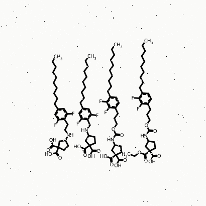 CCCCCCCCCCc1cc(F)c(CCNC2CCC(C(=O)O)(C(=O)O)C2)c(F)c1.CCCCCCCCCCc1cc(F)c(CNC2CCC(C(=O)O)(C(=O)O)C2)c(F)c1.CCCCCCCCCCc1ccc(CCCOC(=O)NC2CCC(C(=O)O)(C(=O)O)C2)c(F)c1F.CCCCCCCCCCc1ccc(CCCOC(=O)NC2CCC(C(=O)O)(C(=O)OCC)C2)c(F)c1F